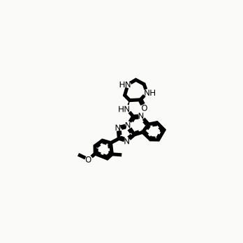 COc1ccc(-c2nc3c4ccccc4nc(N[C@@H]4CNCCNC4=O)n3n2)c(C)c1